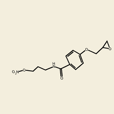 O=C(NCCCO[N+](=O)[O-])c1ccc(OCC2CO2)cc1